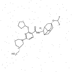 O=C(O)C[C@@H]1CCCN(c2ccc(C(=O)N[C@H]3C4CC5CC3C[C@](OC(F)F)(C5)C4)c(SC3CCCC3)n2)C1